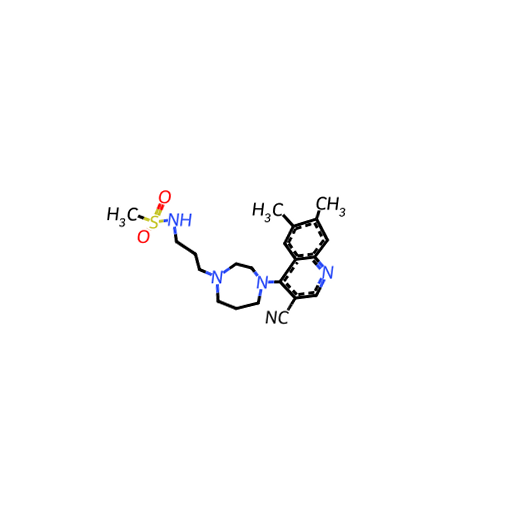 Cc1cc2ncc(C#N)c(N3CCCN(CCCNS(C)(=O)=O)CC3)c2cc1C